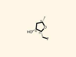 C[C@H]1C[C@@H](O)[C@@H](CF)O1